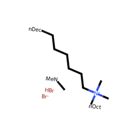 Br.CCCCCCCCCCCCCCCC[N+](C)(C)CCCCCCCC.CNC.[Br-]